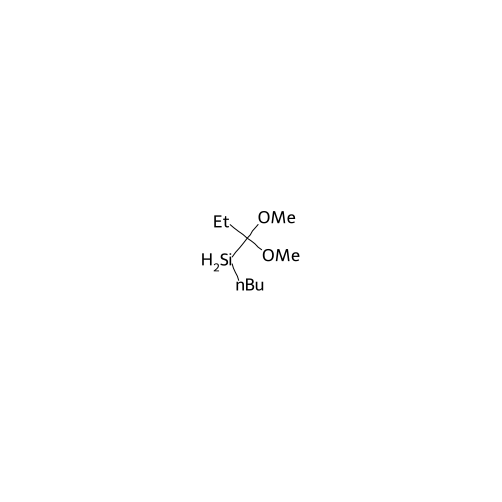 CCCC[SiH2]C(CC)(OC)OC